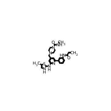 C=CC(=O)Nc1cccc(-c2cc(CN3CCN(C(=O)NC)CC3)cc(NC3NC=C(C)S3)n2)c1